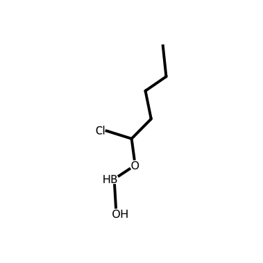 CCCCC(Cl)OBO